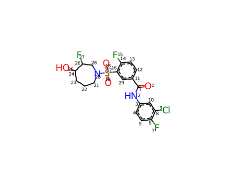 O=C(Nc1ccc(F)c(Cl)c1)c1ccc(F)c(S(=O)(=O)N2CCCC(O)C(F)C2)c1